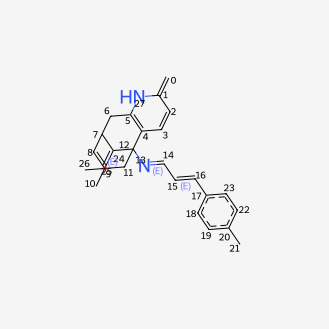 C=C1C=CC2=C(CC3C=C(C)CC2(/N=C/C=C/c2ccc(C)cc2)/C3=C/C)N1